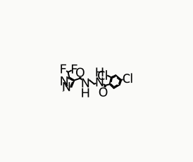 Cn1cc(C(=O)NCCNC(=O)c2ccc(Cl)cc2Cl)c(C(F)F)n1